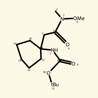 CON(C)C(=O)CC1(NC(=O)OC(C)(C)C)CCCCC1